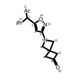 CC(=O)C(c1cc(N2CC3(CC(=O)C3)C2)no1)C(C)C